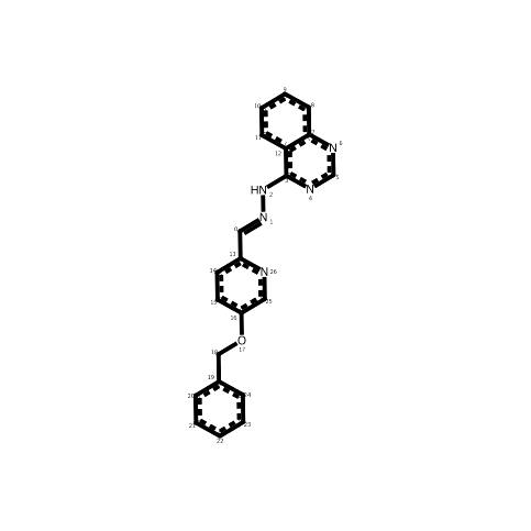 C(=N\Nc1ncnc2ccccc12)/c1ccc(OCc2ccccc2)cn1